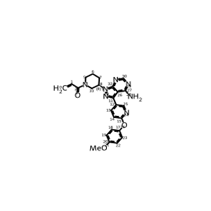 C=CC(=O)N1CCC[C@@H](n2nc(-c3ccc(Oc4ccc(OC)cc4)nc3)c3c(N)ncnc32)C1